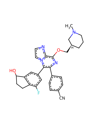 CN1CCC[C@@H](COc2nc(-c3ccc(C#N)cc3)c(-c3cc(F)c4c(c3)C(O)CC4)n3ccnc23)C1